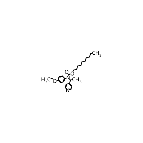 CCCCCCCCCCOC(=O)N(c1ccc(OCC)cc1)C(C)c1ccncc1